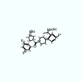 CC(=O)NC(C)c1cc(F)ccc1C1CCN(C(=O)[C@@H]2CN(C(C)(C)C)C[C@H]2c2ccc(F)cc2F)CC1